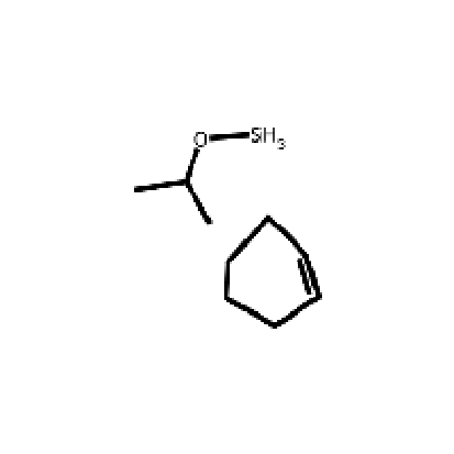 C1=CCCCC1.CC(C)O[SiH3]